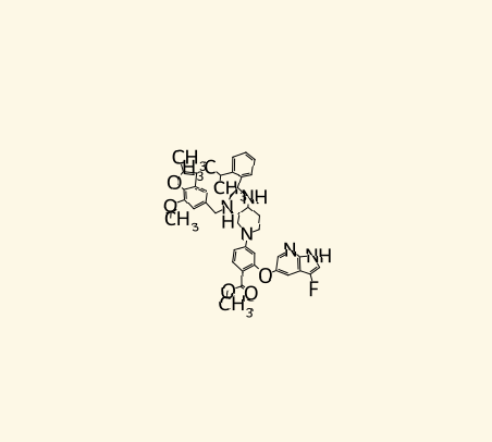 COC(=O)c1ccc(N2CCC(N[C@@H](CNCc3cc(OC)c4oc(C)cc4c3)c3ccccc3C(C)C)CC2)cc1Oc1cnc2[nH]cc(F)c2c1